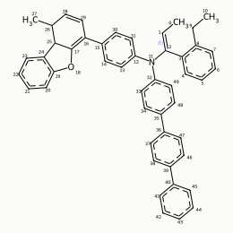 C/C=C(\c1ccccc1CC)N(c1ccc(C2=C3Oc4ccccc4C3C(C)C=C2)cc1)c1ccc(-c2ccc(-c3ccccc3)cc2)cc1